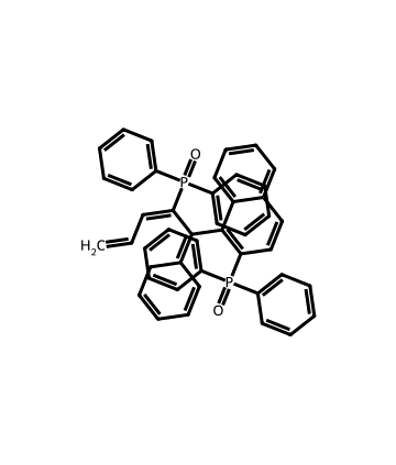 C=C/C=C(\C(=C1\C=CC=CC1)c1c(P(=O)(c2ccccc2)c2ccccc2)ccc2ccccc12)P(=O)(c1ccccc1)c1ccccc1